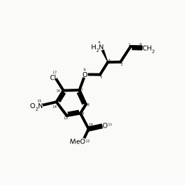 C=CC[C@H](N)COc1cc(C(=O)OC)cc([N+](=O)[O-])c1Cl